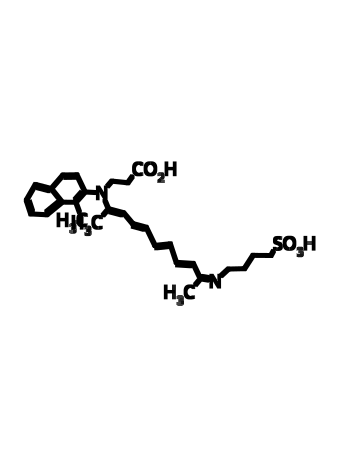 CC(/C=C/C=C/C=C/C=C(\C)N(CCC(=O)O)c1ccc2ccccc2c1C)=N/CCCCS(=O)(=O)O